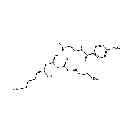 CCCCCCCCCCCCCCC(O)CN(CCN(C)CCNC(=O)c1ccc(OC)cc1)CC(O)CCCCCCCCCCCCCC